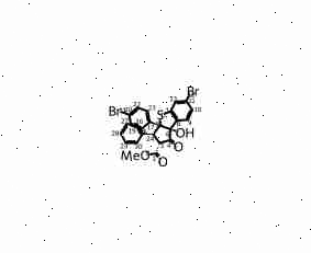 COC(=O)[C@H]1C(=O)[C@@]2(O)c3ccc(Br)cc3S[C@@]2(c2ccc(Br)cc2)[C@@H]1c1ccccc1